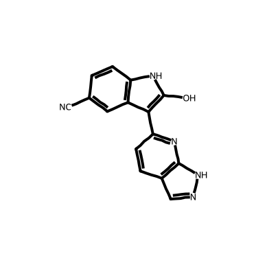 N#Cc1ccc2[nH]c(O)c(-c3ccc4cn[nH]c4n3)c2c1